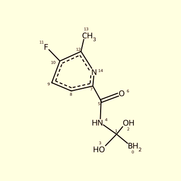 BC(O)(O)NC(=O)c1ccc(F)c(C)n1